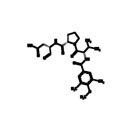 COc1c(C)cc(C(=O)N[C@H](C(=O)N2CCC[C@H]2C(=O)N[C@H](C=O)CC(=O)O)C(C)C)cc1C